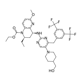 CCOC(=O)N1c2ccc(OC)nc2[C@@H](Nc2ncc(N3CCC(CO)CC3)c(Cc3cc(C(F)(F)F)cc(C(F)(F)F)c3)n2)C[C@H]1CC